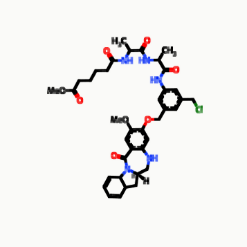 COC(=O)CCCCC(=O)NC(C)C(=O)NC(C)C(=O)Nc1cc(CCl)cc(COc2cc3c(cc2OC)C(=O)N2C4C=CC=CC4C[C@H]2CN3)c1